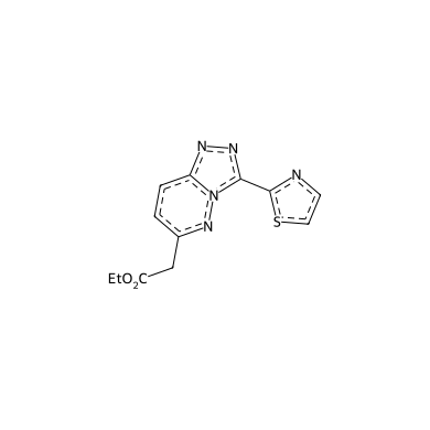 CCOC(=O)Cc1ccc2nnc(-c3nccs3)n2n1